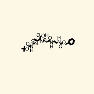 CC(C)(C)OC(=O)Nc1nc(C(=NOCC(=O)NCCNC(=O)OCc2ccccc2)C(=O)O)cs1